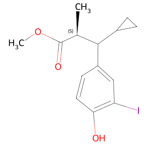 COC(=O)[C@@H](C)C(c1ccc(O)c(I)c1)C1CC1